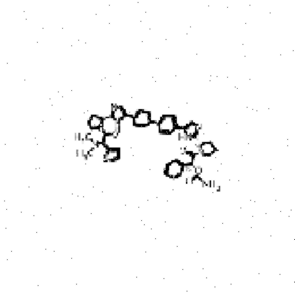 CN(C)C(C(=O)N1CCC[C@H]1c1ncc(-c2ccc(-c3ccc(-c4cnc([C@@H]5CCCN5C(=O)[C@H](OC(N)=O)c5ccccc5)[nH]4)cc3)cc2)[nH]1)c1cccs1